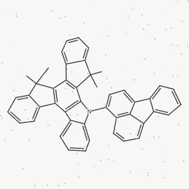 CC1(C)c2ccccc2-c2c1c1c(c3c2c2ccccc2n3-c2ccc3c4c(cccc24)-c2ccccc2-3)C(C)(C)c2ccccc2-1